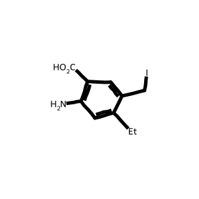 CCc1cc(N)c(C(=O)O)cc1CI